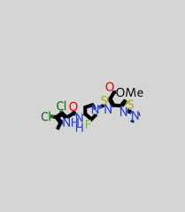 COC(=O)c1sc(N2CC[C@@H](NC(=O)c3[nH]c(C)c(Cl)c3Cl)[C@@H](F)C2)nc1-c1csc(N(C)C)n1